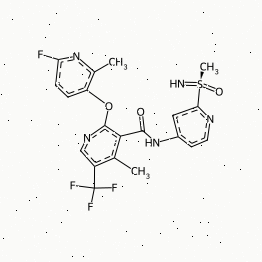 Cc1nc(F)ccc1Oc1ncc(C(F)(F)F)c(C)c1C(=O)Nc1ccnc([S@](C)(=N)=O)c1